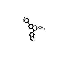 CN1Cc2cc(-c3ccnnc3)ccc2C(c2ccc3ccsc3c2)C1